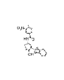 Cc1ccc(C(=O)Nc2ccc(O)c(-c3nc4ccccc4s3)c2)cc1[N+](=O)[O-]